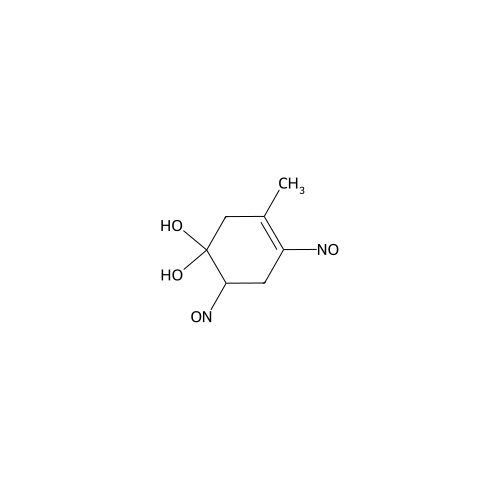 CC1=C(N=O)CC(N=O)C(O)(O)C1